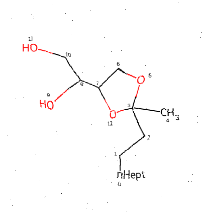 CCCCCCCCCC1(C)OCC(C(O)CO)O1